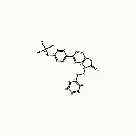 O=c1oc2ccc(-c3ccc(OC(F)(F)F)cc3)nc2n1CCc1cnccn1